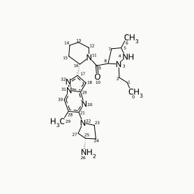 CCCN1NC(C)CC1C(=O)N1CCCC[C@H]1c1cc2nc(N3CC[C@H](N)C3)c(C)cn2n1